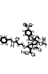 CC[C@](O[SiH](C)C)([C@@H]1C(=O)N2C(C(=O)O)=C(SCCC(=O)NCc3ccccc3)S[C@]12SCc1ccc([N+](=O)[O-])cc1)C(C)(C)C